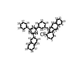 Clc1cccc2c3cc4ccccc4cc3n(-c3cccc(-c4nc(-c5ccccc5)nc(-c5ccc6ccccc6c5)n4)c3)c12